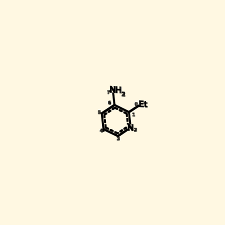 CCc1nc[c]cc1N